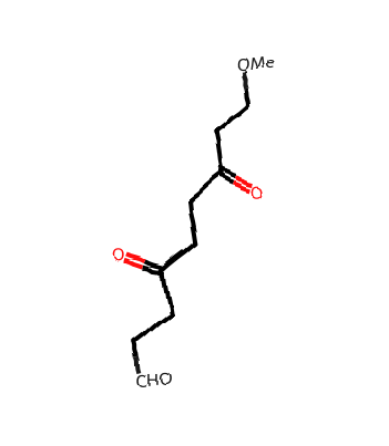 COCCC(=O)CCC(=O)CCC=O